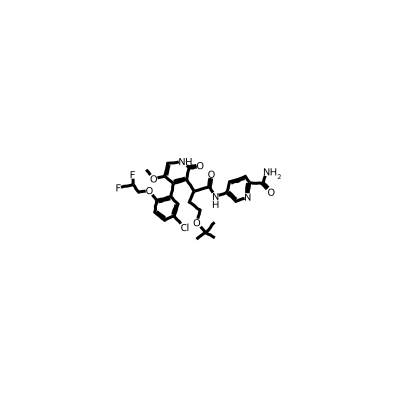 COc1c[nH]c(=O)c(C(CCOC(C)(C)C)C(=O)Nc2ccc(C(N)=O)nc2)c1-c1cc(Cl)ccc1OCC(F)F